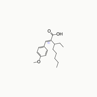 CCCCCC(CC)/C(=C\c1ccc(OC)cc1)C(=O)O